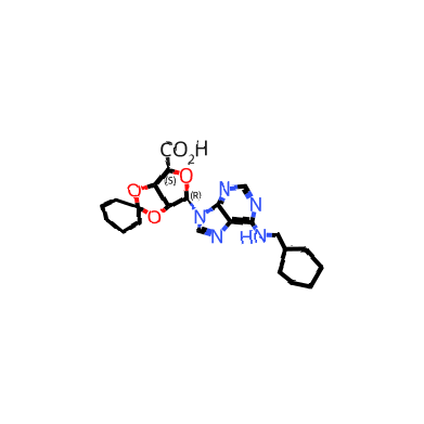 O=C(O)[C@H]1O[C@@H](n2cnc3c(NCC4CCCCC4)ncnc32)C2OC3(CCCCC3)OC21